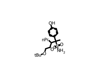 CCCC(C(=O)COC(C)(C)C)C(C)(c1ccc(O)cc1)S(N)(=O)=O